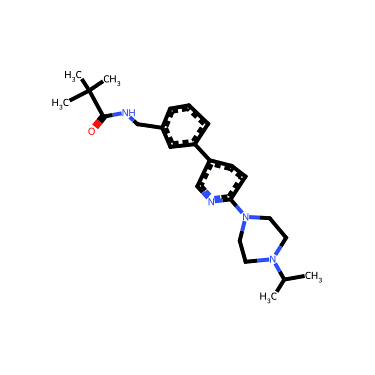 CC(C)N1CCN(c2ccc(-c3cccc(CNC(=O)C(C)(C)C)c3)cn2)CC1